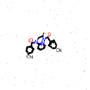 C[C@H](CN(C(=O)c1ccc(C#N)cc1)c1ccccn1)NC(=O)c1ccc(C#N)cc1